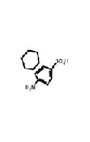 C1CCCCC1.Nc1ccc(S(=O)(=O)O)cc1